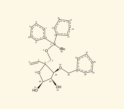 C=C[C@]1(CO[Si](c2ccccc2)(c2ccccc2)C(C)(C)C)O[C@H](O)[C@H](O)[C@@H]1OCc1ccccc1